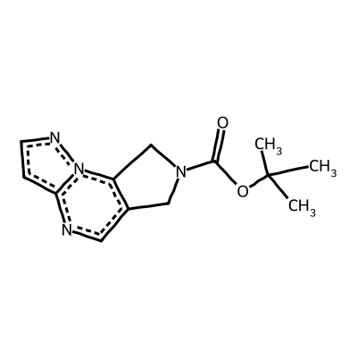 CC(C)(C)OC(=O)N1Cc2cnc3ccnn3c2C1